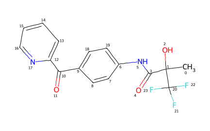 CC(O)(C(=O)Nc1ccc(C(=O)c2ccccn2)cc1)C(F)(F)F